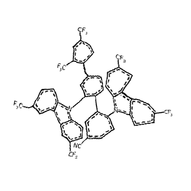 N#Cc1ccc(-n2c3ccc(C(F)(F)F)cc3c3cc(C(F)(F)F)ccc32)c(-c2ccc(-c3ccc(C(F)(F)F)cc3C(F)(F)F)cc2-n2c3ccc(C(F)(F)F)cc3c3cc(C(F)(F)F)ccc32)c1